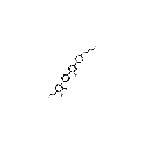 C/C=C/CCC1CCC(c2ccc(-c3ccc(-c4ccc(CCC)c(F)c4F)cc3)c(F)c2)CO1